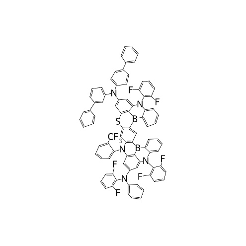 Fc1cccc(F)c1N(c1ccccc1)c1cc2c3c(c1)N(c1c(F)cccc1F)c1ccccc1B3c1cc3c(cc1N2c1ccccc1C(F)(F)F)Sc1cc(N(c2ccc(-c4ccccc4)cc2)c2cccc(-c4ccccc4)c2)cc2c1B3c1ccccc1N2c1c(F)cccc1F